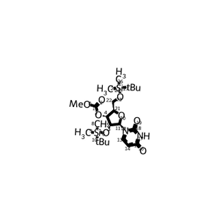 COC(=O)O[C@H]1[C@@H](O[Si](C)(C)C(C)(C)C)[C@H](n2ccc(=O)[nH]c2=O)O[C@@H]1CO[Si](C)(C)C(C)(C)C